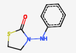 O=C1SCCN1Nc1ccccc1